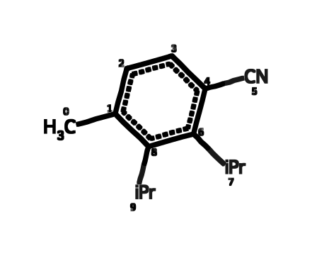 Cc1ccc(C#N)c(C(C)C)c1C(C)C